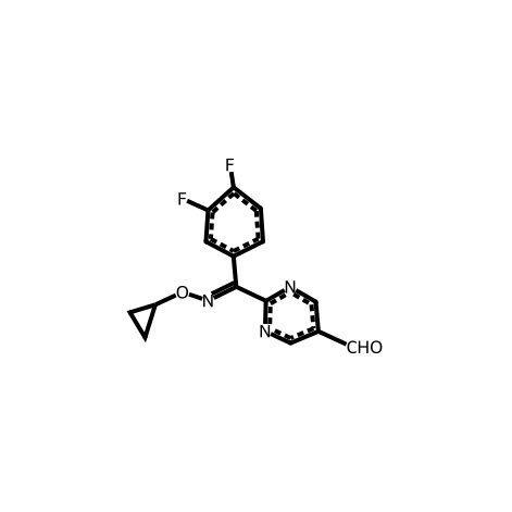 O=Cc1cnc(C(=NOC2CC2)c2ccc(F)c(F)c2)nc1